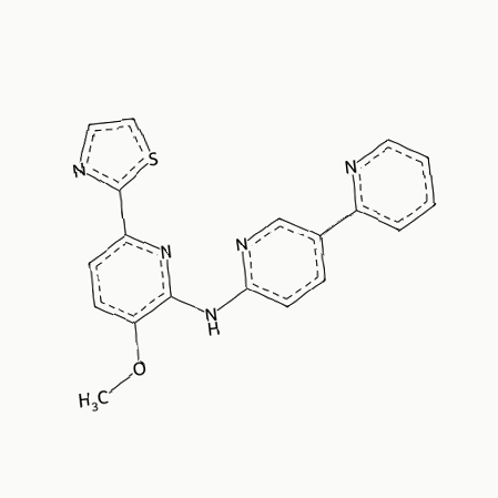 COc1ccc(-c2nccs2)nc1Nc1ccc(-c2ccccn2)cn1